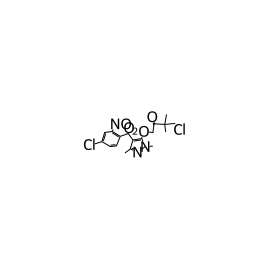 Cc1nn(C)c(OCC(=O)C(C)(C)CCl)c1C(=O)c1ccc(Cl)cc1[N+](=O)[O-]